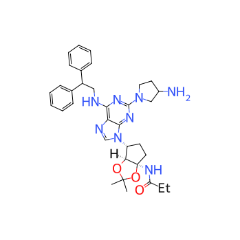 CCC(=O)N[C@@]12CC[C@@H](n3cnc4c(NCC(c5ccccc5)c5ccccc5)nc(N5CCC(N)C5)nc43)[C@@H]1OC(C)(C)O2